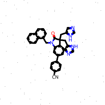 N#Cc1ccc(-c2ccc3c(c2)N(Cc2cccc4ccccc24)C(=O)C3(Cc2cnc[nH]2)Cc2cnc[nH]2)cc1